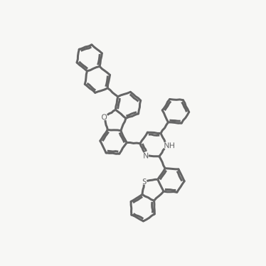 C1=C(c2ccccc2)NC(c2cccc3c2sc2ccccc23)N=C1c1cccc2oc3c(-c4ccc5ccccc5c4)cccc3c12